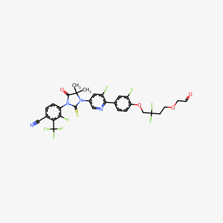 CC1(C)C(=O)N(c2ccc(C#N)c(C(F)(F)F)c2F)C(=S)N1c1cnc(-c2ccc(OCC(F)(F)CCOCC=O)c(F)c2)c(F)c1